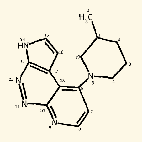 CC1CCCN(c2ccnc3nnc4[nH]ccc4c23)C1